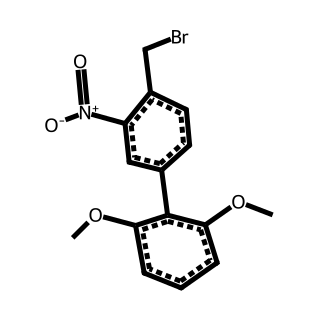 COc1cccc(OC)c1-c1ccc(CBr)c([N+](=O)[O-])c1